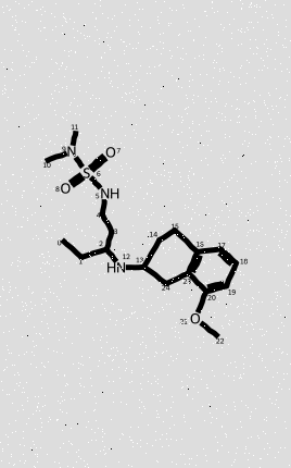 CCC(CCNS(=O)(=O)N(C)C)NC1CCc2cccc(OC)c2C1